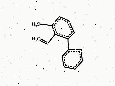 C=Cc1c([SiH3])cccc1-c1ccccc1